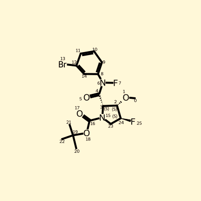 CO[C@H]1[C@@H](C(=O)N(F)c2cccc(Br)c2)N(C(=O)OC(C)(C)C)C[C@@H]1F